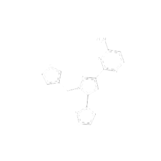 Nc1ccnc(-c2cc(-c3ccon3)n(Cc3ccsc3)n2)n1